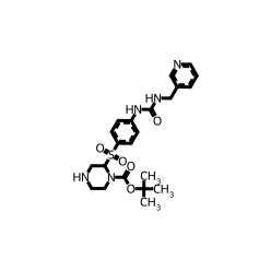 CC(C)(C)OC(=O)N1CCNCC1S(=O)(=O)c1ccc(NC(=O)NCc2cccnc2)cc1